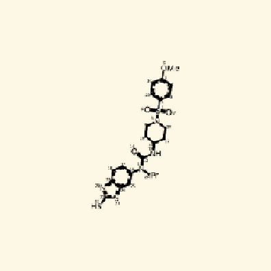 COc1ccc(S(=O)(=O)N2CCC(NC(=O)N(c3ccc4nc(S)sc4c3)C(C)C)CC2)cc1